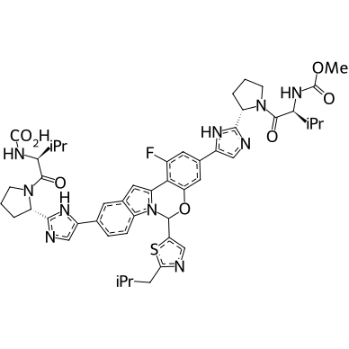 COC(=O)N[C@H](C(=O)N1CCC[C@H]1c1ncc(-c2cc(F)c3c(c2)OC(c2cnc(CC(C)C)s2)n2c-3cc3cc(-c4cnc([C@@H]5CCCN5C(=O)[C@@H](NC(=O)O)C(C)C)[nH]4)ccc32)[nH]1)C(C)C